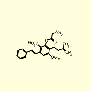 C=C(C)CCc1c(OC)cc(C=Cc2ccccc2)c(C(=O)O)c1OC(=O)CN